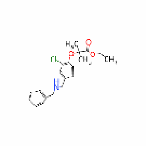 CCOC(=O)C(C)(C)Oc1ccc(CNCc2ccccc2)cc1Cl